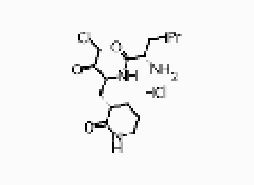 CC(C)C[C@H](N)C(=O)N[C@@H](C[C@@H]1CCCNC1=O)C(=O)CCl.Cl